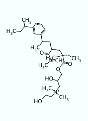 CCC(C)c1cccc(C(C)CC(CC(C)(CC)C(=O)OCC(O)C[N+](C)(C)CCO)C(=O)N(C)C)c1